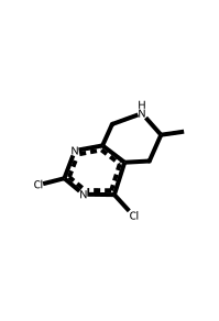 CC1Cc2c(Cl)nc(Cl)nc2CN1